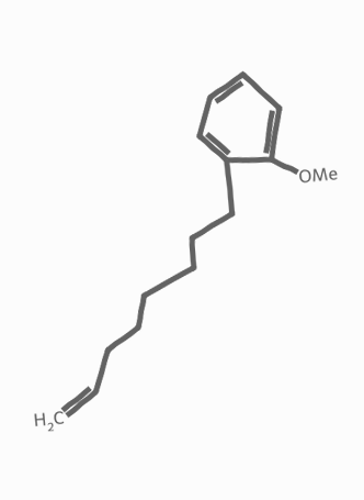 C=CCCCCCCc1ccccc1OC